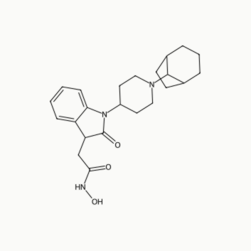 O=C(CC1C(=O)N(C2CCN(C3C4CCCC3CC4)CC2)c2ccccc21)NO